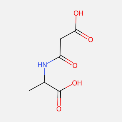 CC(NC(=O)CC(=O)O)C(=O)O